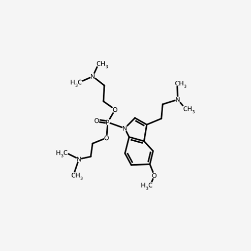 COc1ccc2c(c1)c(CCN(C)C)cn2P(=O)(OCCN(C)C)OCCN(C)C